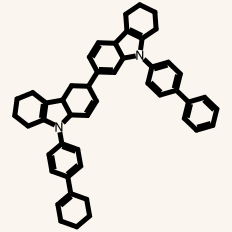 C1=CC2C3=C(CCCC3)N(c3ccc(-c4ccccc4)cc3)C2C=C1C1C=CC2C(C1)C1=C(CCCC1)N2c1ccc(C2=CCCCC2)cc1